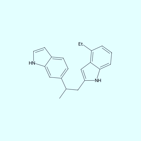 CCc1cccc2[nH]c(CC(C)c3ccc4cc[nH]c4c3)cc12